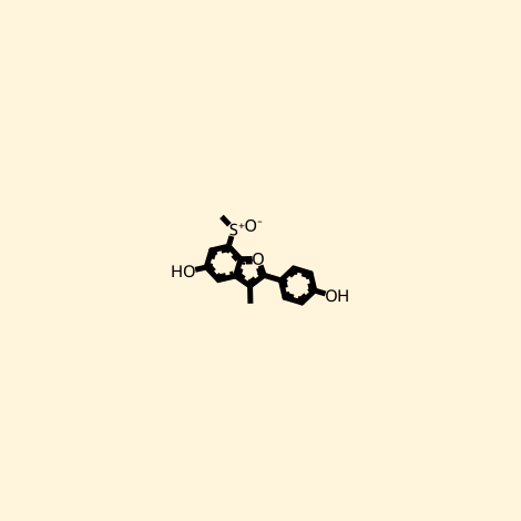 Cc1c(-c2ccc(O)cc2)oc2c([S+](C)[O-])cc(O)cc12